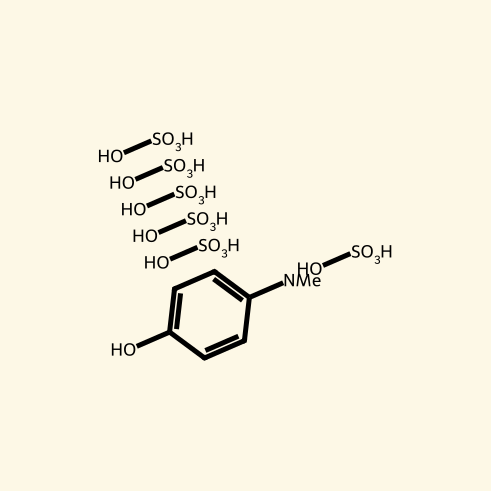 CNc1ccc(O)cc1.O=S(=O)(O)O.O=S(=O)(O)O.O=S(=O)(O)O.O=S(=O)(O)O.O=S(=O)(O)O.O=S(=O)(O)O